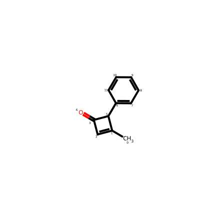 CC1=CC(=O)C1c1ccccc1